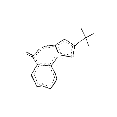 CC(C)(C)c1cc2[nH]c(=O)c3ccccc3n2n1